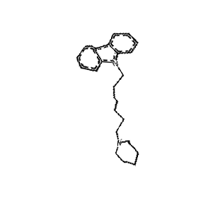 c1ccc2c(c1)c1ccccc1n2CCCCCCN1CCCCC1